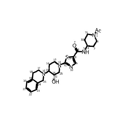 CC(=O)N1CCC(NC(=O)c2cnc(N3CCC(N4CCc5ccccc5C4)[C@@H](O)C3)s2)CC1